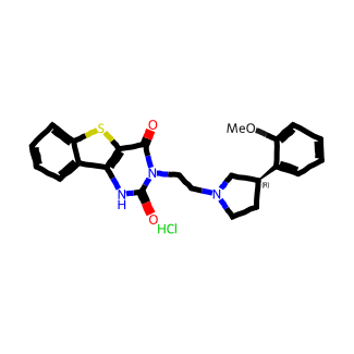 COc1ccccc1[C@H]1CCN(CCn2c(=O)[nH]c3c(sc4ccccc43)c2=O)C1.Cl